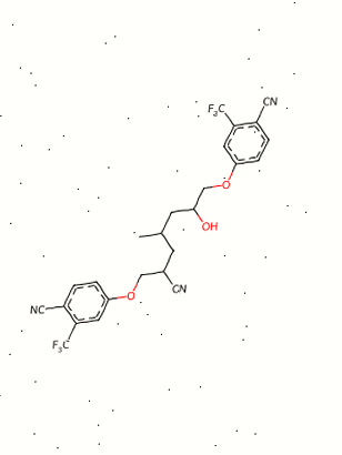 CC(CC(O)COc1ccc(C#N)c(C(F)(F)F)c1)CC(C#N)COc1ccc(C#N)c(C(F)(F)F)c1